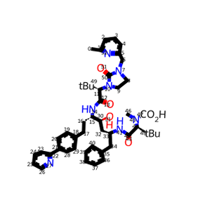 Cc1cccc(CN2CCN([C@H](C(=O)N[C@@H](CCc3ccc(-c4ccccn4)cc3)[C@@H](O)C[C@H](Cc3ccccc3)NC(=O)[C@@H](N(C)C(=O)O)C(C)(C)C)C(C)(C)C)C2=O)n1